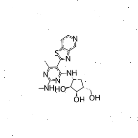 CNc1nc(C)c(-c2nc3cnccc3s2)c(N[C@@H]2C[C@H](CO)[C@@H](O)[C@H]2O)n1